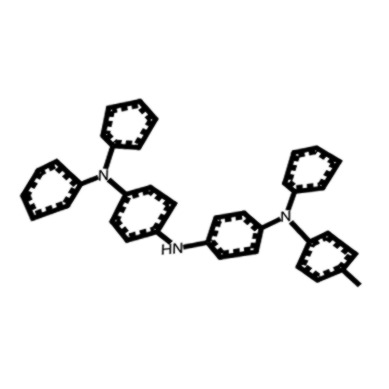 Cc1ccc(N(c2ccccc2)c2ccc(Nc3ccc(N(c4ccccc4)c4ccccc4)cc3)cc2)cc1